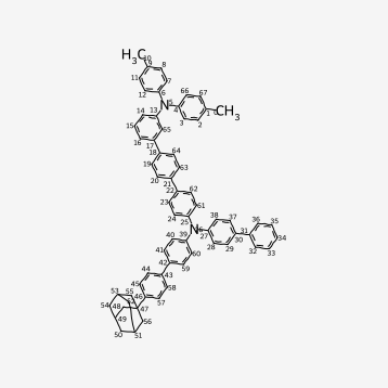 Cc1ccc(N(c2ccc(C)cc2)c2cccc(-c3ccc(-c4ccc(N(c5ccc(-c6ccccc6)cc5)c5ccc(-c6ccc(C78CC9CC(CC(C9)C7)C8)cc6)cc5)cc4)cc3)c2)cc1